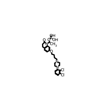 CC(OP(O)O)N1C(=O)CCc2ccc(OCCCCN3CCN(c4cccc(Cl)c4Cl)CC3)cc21